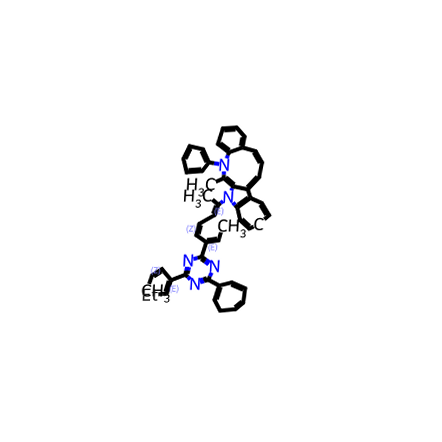 C/C=C\C(=C/CC)c1nc(C2=CCC=CC=C2)nc(C(/C=C\C=C(/C)n2c3c(c4cccc5ccccc5n(-c5ccccc5)c(C)c42)C=CCC=C3)=C/C)n1